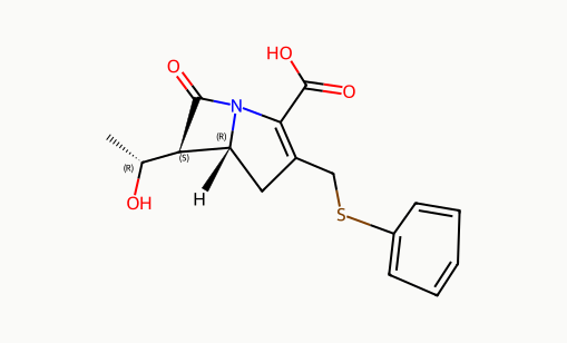 C[C@@H](O)[C@H]1C(=O)N2C(C(=O)O)=C(CSc3ccccc3)C[C@H]12